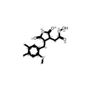 CSc1cc(C)c(C)cc1CC1C(=O)OC(=O)C1CC(=O)OO